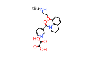 CC(C)(C)NCCOc1cccc2c1N(C(=O)c1cccnc1)CCC2.O=C(O)C(=O)O